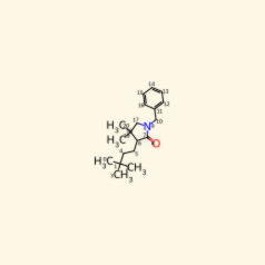 CC(C)(C)CCC1C(=O)N(Cc2ccccc2)CC1(C)C